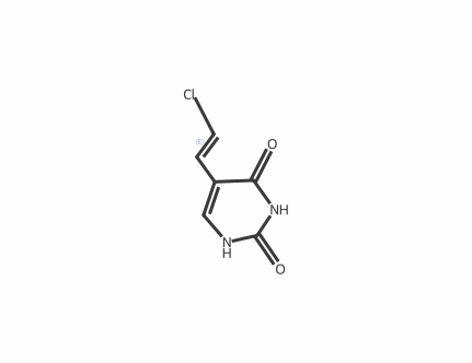 O=c1[nH]cc(/C=C/Cl)c(=O)[nH]1